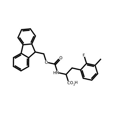 Cc1cccc(CC(NC(=O)OCC2c3ccccc3-c3ccccc32)C(=O)O)c1F